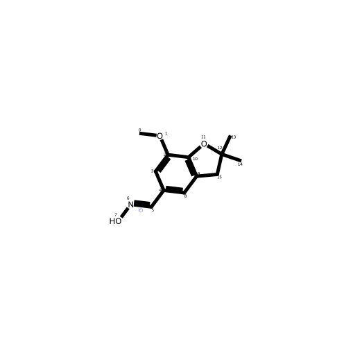 COc1cc(/C=N/O)cc2c1OC(C)(C)C2